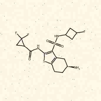 N[C@H]1CCc2sc(NC(=O)C3CC3(F)F)c(S(=O)(=O)NC3CC(F)C3)c2C1